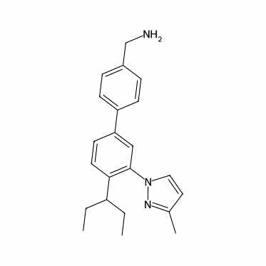 CCC(CC)c1ccc(-c2ccc(CN)cc2)cc1-n1ccc(C)n1